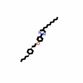 CCCCCCCCCc1cnc(-c2ccc(OCC=C[C@H]3CC[C@H](CCCCC)CC3)cc2)nc1